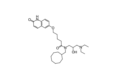 CCN(CC)CC(O)CN(CC1CCCCCCC1)C(=O)CCCCOc1ccc2[nH]c(=O)ccc2c1